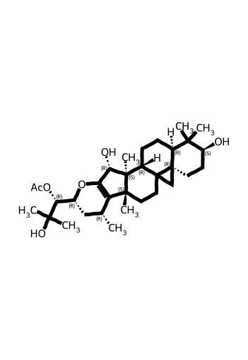 CC(=O)O[C@H]([C@H]1C[C@@H](C)C2=C(O1)[C@H](O)[C@@]1(C)[C@@H]3CC[C@H]4C(C)(C)[C@@H](O)CC[C@@]45CC35CC[C@]21C)C(C)(C)O